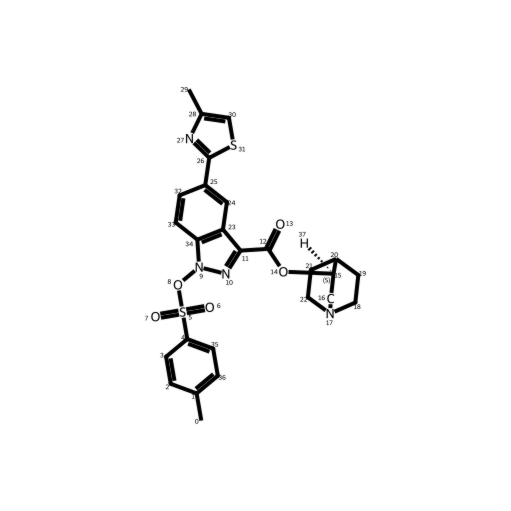 Cc1ccc(S(=O)(=O)On2nc(C(=O)O[C@@H]3CN4CCC3CC4)c3cc(-c4nc(C)cs4)ccc32)cc1